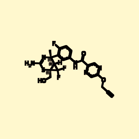 C#CCOc1cnc(C(=O)Nc2ccc(F)c([C@@]3(C)N=C(N)S[C@]4(CO)[C@H]3C4(F)F)c2)cn1